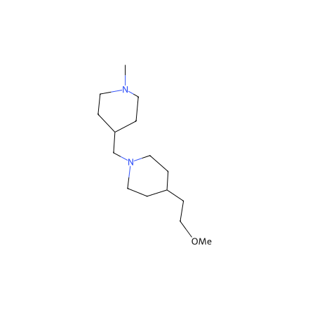 COCCC1CCN(CC2CCN(C)CC2)CC1